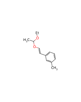 CCOC(C)OC=Cc1cccc(C)c1